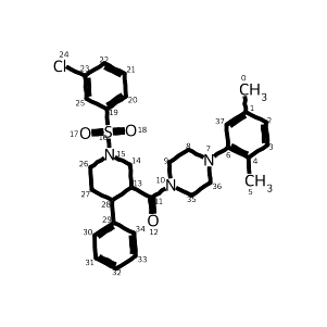 Cc1ccc(C)c(N2CCN(C(=O)C3CN(S(=O)(=O)c4cccc(Cl)c4)CCC3c3ccccc3)CC2)c1